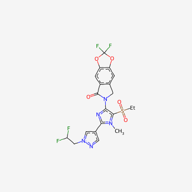 CCS(=O)(=O)c1c(N2Cc3cc4c(cc3C2=O)OC(F)(F)O4)nc(-c2cnn(CC(F)F)c2)n1C